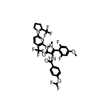 COc1cc(F)c(-c2c(NC(=O)c3ccc(OC(F)F)cc3)c(=O)n(-c3nc(N4CCCC4C(F)(F)F)ccc3C(F)(F)F)n2C)c(F)c1